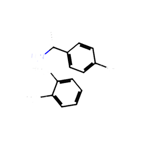 C[C@@H](N)c1ccc(C(F)(F)F)cc1.O=C(O)c1ccccc1C(=O)O